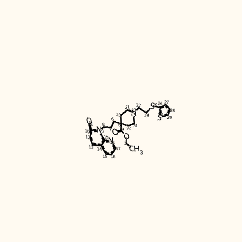 CCOC(=O)C1(CCCn2c(=O)ccc3cccnc32)CCN(CCSc2cccs2)CC1